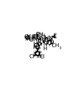 CCC[C@H](NC(=O)[C@@H]1C[C@]2(CC(c3cc(Cl)cc(Cl)c3)=NO2)CN1C(=O)[C@@H](NC(=O)O[C@H]1CCOC1)C(C)(C)C)C(=O)C(=O)NC1CC1